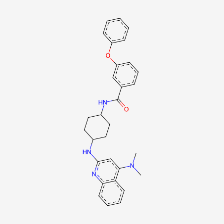 CN(C)c1cc(NC2CCC(NC(=O)c3cccc(Oc4ccccc4)c3)CC2)nc2ccccc12